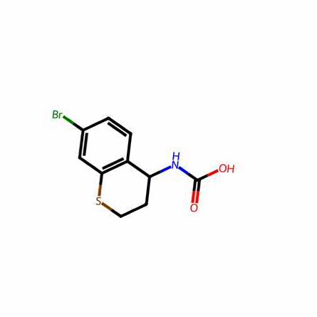 O=C(O)NC1CCSc2cc(Br)ccc21